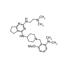 COc1cccc(N(C)C)c1CN1CCC(Nc2nc(NCCN(C)C)nc3c2CCC3)CC1